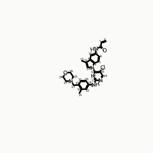 C=CC(=O)Nc1ccc2c(c1)c(C)cn2-c1nc(Nc2ccc(CN3CCOCC3)c(C)c2)ncc1Cl